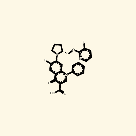 O=C(O)c1cn(-c2ccccc2)c2cc(N3CCC[C@@H]3COc3ncccc3F)c(F)cc2c1=O